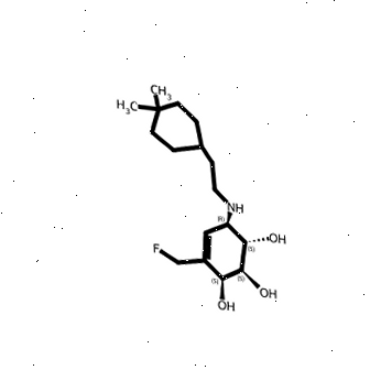 CC1(C)CCC(CCN[C@@H]2C=C(CF)[C@H](O)[C@H](O)[C@H]2O)CC1